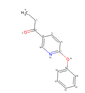 CCC(=O)c1ccc(Oc2ccccc2)nc1